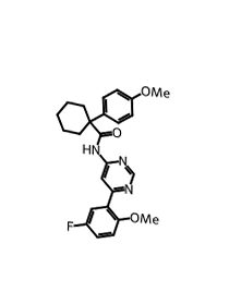 COc1ccc(C2(C(=O)Nc3cc(-c4cc(F)ccc4OC)ncn3)CCCCC2)cc1